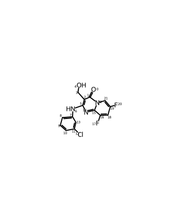 O=c1c(CO)c(Nc2cccc(Cl)c2)nc2c(F)cc(F)cn12